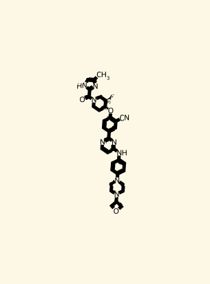 Cc1c[nH]c(C(=O)N2CC[C@H](Oc3ccc(-c4nccc(Nc5ccc(N6CCN(C7COC7)CC6)cc5)n4)cc3C#N)[C@H](F)C2)n1